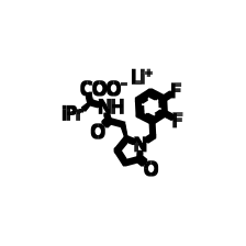 CC(C)[C@H](NC(=O)C[C@@H]1CCC(=O)N1Cc1cccc(F)c1F)C(=O)[O-].[Li+]